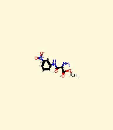 COC(=O)C(N)C(=O)Nc1cccc([N+](=O)[O-])c1